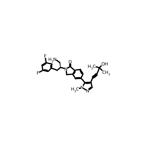 Cn1ncc(C#CC(C)(C)O)c1-c1ccc2c(c1)CN([C@H](CN)Cc1cc(F)cc(F)c1)C2=O